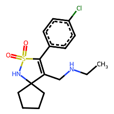 CCNCC1=C(c2ccc(Cl)cc2)S(=O)(=O)NC12CCCC2